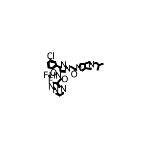 CC(C)CN1CC2CN(C(=O)Cn3cc(NC(=O)c4cnn5cccnc45)c(-c4cc(Cl)ccc4OC(F)F)n3)CC2C1